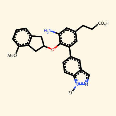 CCn1ncc2cc(-c3cc(CCC(=O)O)cc(N)c3OC3Cc4cccc(OC)c4C3)ccc21